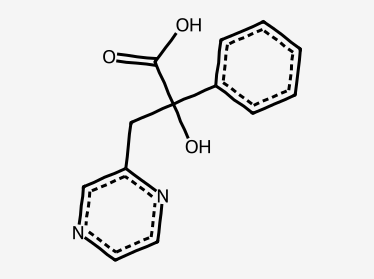 O=C(O)C(O)(Cc1cnccn1)c1ccccc1